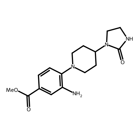 COC(=O)c1ccc(N2CCC(N3CCNC3=O)CC2)c(N)c1